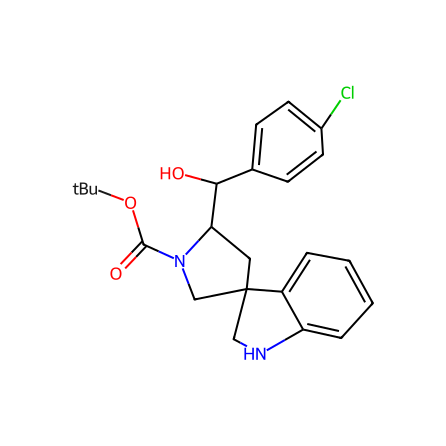 CC(C)(C)OC(=O)N1CC2(CNc3ccccc32)CC1C(O)c1ccc(Cl)cc1